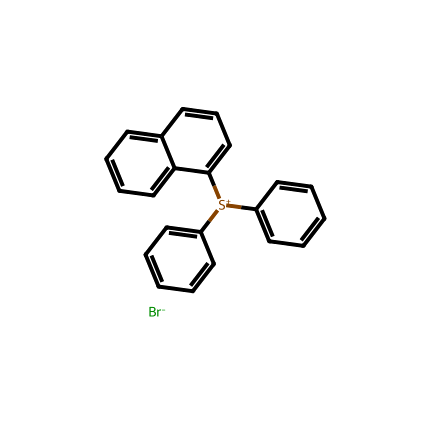 [Br-].c1ccc([S+](c2ccccc2)c2cccc3ccccc23)cc1